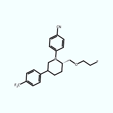 N#Cc1ccc(N2CC(c3ccc(C(F)(F)F)cc3)CC[C@H]2COCCF)cc1